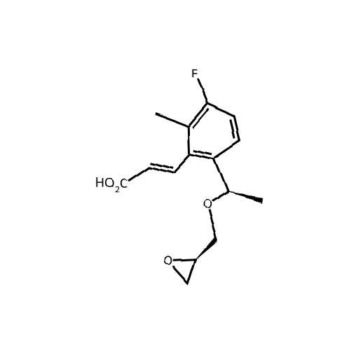 Cc1c(F)ccc([C@@H](C)OC[C@H]2CO2)c1/C=C/C(=O)O